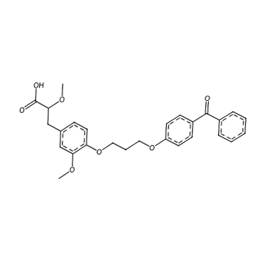 COc1cc(CC(OC)C(=O)O)ccc1OCCCOc1ccc(C(=O)c2ccccc2)cc1